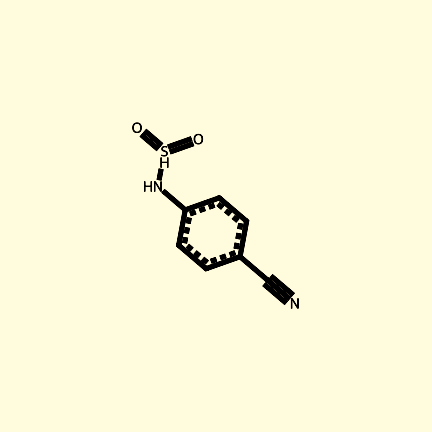 N#Cc1ccc(N[SH](=O)=O)cc1